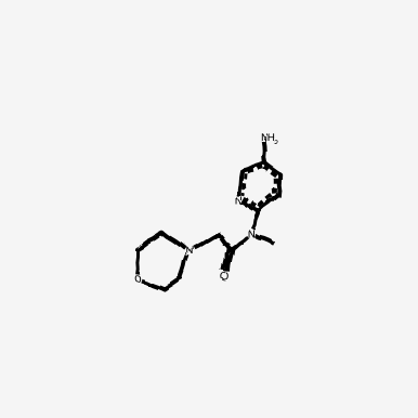 CN(C(=O)CN1CCOCC1)c1ccc(N)cn1